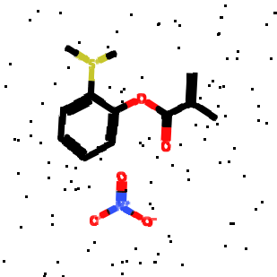 C=C(C)C(=O)Oc1ccccc1[S+](C)C.O=[N+]([O-])[O-]